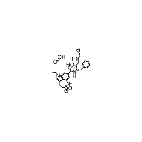 CCn1cc2c3c(cc(C(=O)N[C@@H](Cc4ccccc4)[C@H](O)CNCC4CC4)cc31)N(C)S(=O)(=O)CC2.O=CO